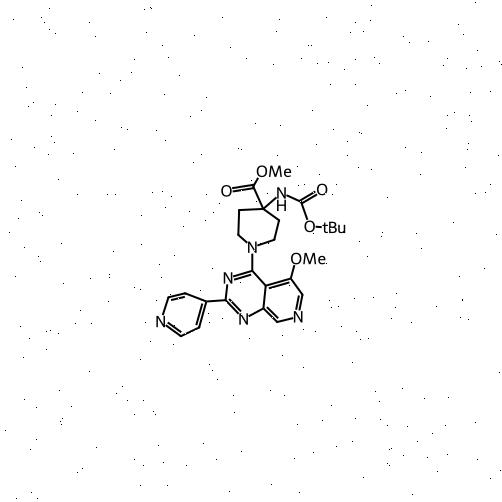 COC(=O)C1(NC(=O)OC(C)(C)C)CCN(c2nc(-c3ccncc3)nc3cncc(OC)c23)CC1